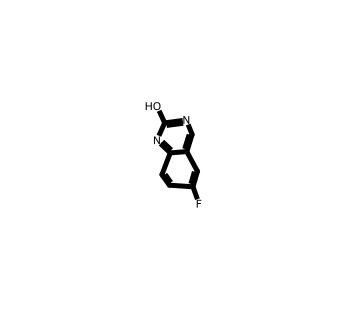 Oc1ncc2cc(F)ccc2n1